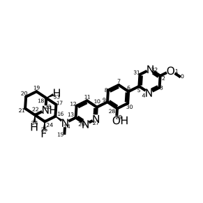 COc1cnc(-c2ccc(-c3ccc(N(C)[C@@H]4C[C@H]5CCC[C@H](N5)[C@@H]4F)nn3)c(O)c2)cn1